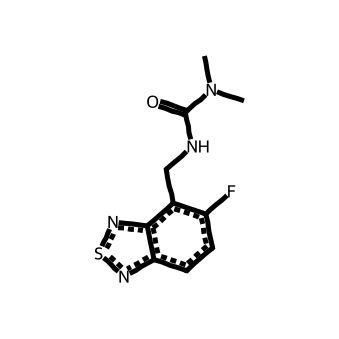 CN(C)C(=O)NCc1c(F)ccc2nsnc12